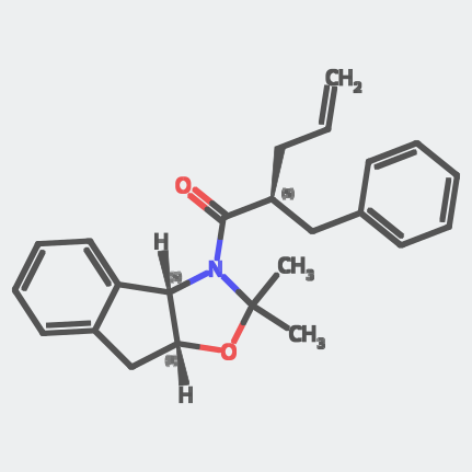 C=CC[C@@H](Cc1ccccc1)C(=O)N1[C@H]2c3ccccc3C[C@H]2OC1(C)C